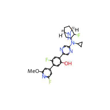 COc1cc(-c2cc(O)c(-c3cnc(N(C4CC4)C4C[C@H]5CC[C@H](N5)C4F)cn3)cc2F)cc(F)n1